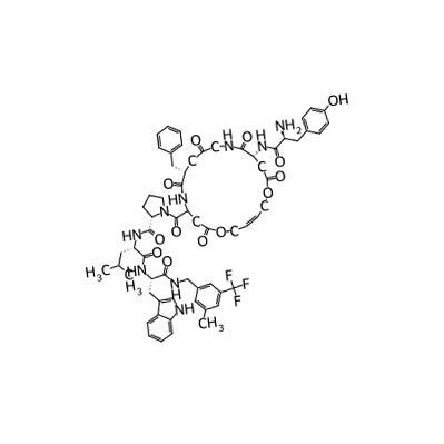 Cc1cc(CNC(=O)[C@H](Cc2c[nH]c3ccccc23)NC(=O)[C@H](CC(C)C)NC(=O)[C@@H]2CCCN2C(=O)C2CC(=O)OCC=CCOC(=O)C[C@@H](NC(=O)[C@@H](N)Cc3ccc(O)cc3)C(=O)NCC(=O)C[C@@H](Cc3ccccc3)C(=O)N2)cc(C(F)(F)F)c1